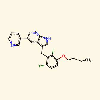 CCCCOc1ccc(F)c(Cc2c[nH]c3ncc(-c4cccnc4)cc23)c1F